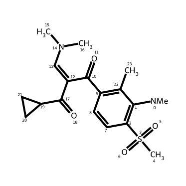 CNc1c(S(C)(=O)=O)ccc(C(=O)/C(=C\N(C)C)C(=O)C2CC2)c1C